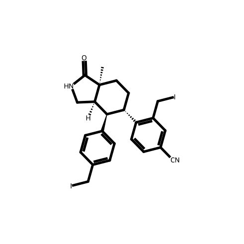 C[C@]12CC[C@H](c3ccc(C#N)cc3CI)[C@@H](c3ccc(CI)cc3)[C@H]1CNC2=O